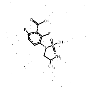 CC(C)CN(c1ccc(F)c(C(=O)O)c1F)S(=O)(=O)O